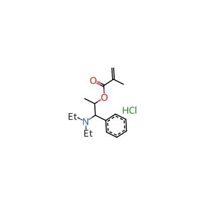 C=C(C)C(=O)OC(C)C(c1ccccc1)N(CC)CC.Cl